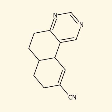 N#CC1=CC2c3cncnc3CCC2CC1